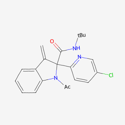 C=C1c2ccccc2N(C(C)=O)C1(C(=O)NC(C)(C)C)c1ccc(Cl)cn1